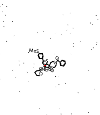 CSc1ccc(-c2ccc(C3(CC(=O)NOC4CCCCO4)CCN(C(=O)c4ccccc4)CCS3(=O)=O)s2)cc1